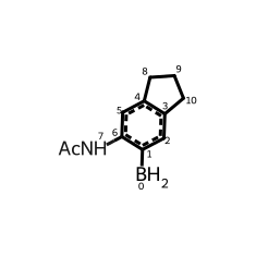 Bc1cc2c(cc1NC(C)=O)CCC2